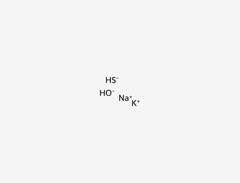 [K+].[Na+].[OH-].[SH-]